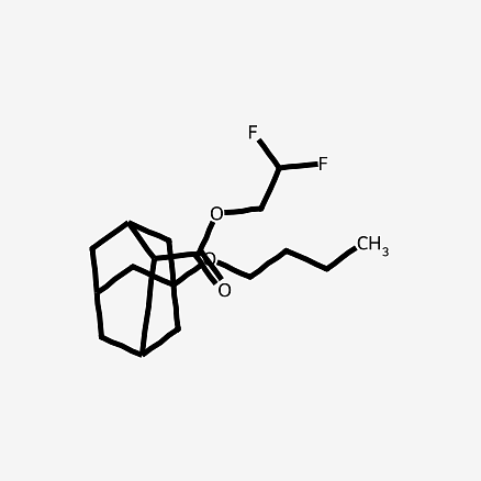 CCCCOC12CC3CC(C1)C(C(=O)OCC(F)F)C(C3)C2